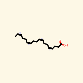 C/C=C\CC/C=C\CC/C=C\CC/C=C\CCC(=O)O